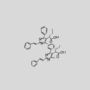 CCCC(C(=O)O)c1c(C)nc(C=Cc2ccccc2)nc1-c1ccccc1.CCCC(C(=O)O)c1c(C)nc(C=Cc2ccccc2)nc1-c1ccccc1